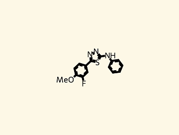 COc1ccc(-c2nnc(Nc3ccccc3)s2)cc1F